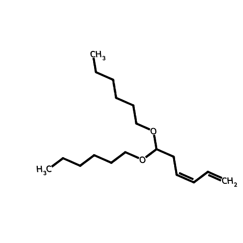 C=C/C=C\CC(OCCCCCC)OCCCCCC